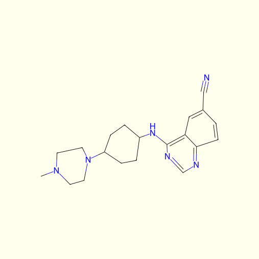 CN1CCN(C2CCC(Nc3ncnc4ccc(C#N)cc34)CC2)CC1